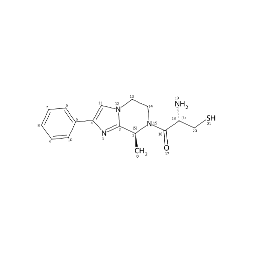 C[C@H]1c2nc(-c3ccccc3)cn2CCN1C(=O)[C@H](N)CS